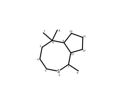 CC1SCCCC(C)(C)C2CCCC12